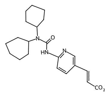 CCOC(=O)C=Cc1ccc(NC(=O)N(C2CCCCC2)C2CCCCC2)nc1